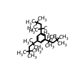 CC(C)(C)CC(C)(C)c1[c]c(C(C)(C)CC(C)(C)C)cc(C(C)(C)CC(C)(C)C)c1